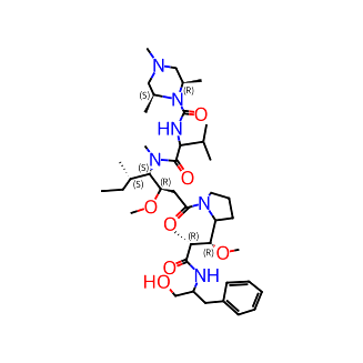 CC[C@H](C)[C@@H]([C@@H](CC(=O)N1CCCC1[C@H](OC)[C@@H](C)C(=O)NC(CO)Cc1ccccc1)OC)N(C)C(=O)C(NC(=O)N1[C@H](C)CN(C)C[C@@H]1C)C(C)C